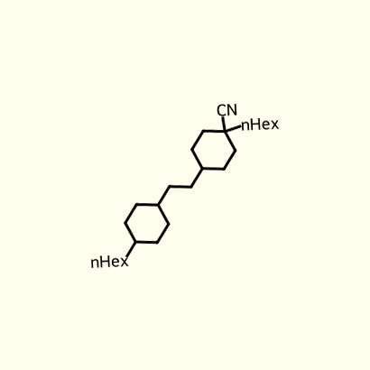 CCCCCCC1CCC(CCC2CCC(C#N)(CCCCCC)CC2)CC1